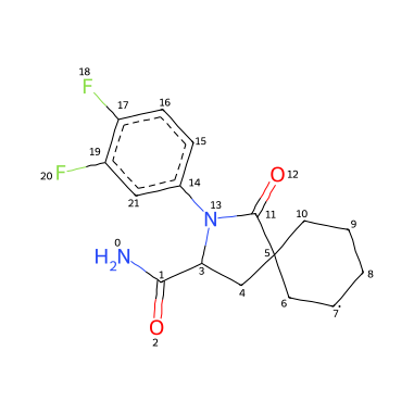 NC(=O)C1CC2(C[CH]CCC2)C(=O)N1c1ccc(F)c(F)c1